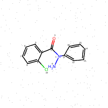 NN(C(=O)c1ccccc1Cl)c1ccccc1